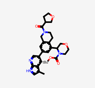 Cc1c[nH]c2ncc(-c3cc4c(c(C5COCCN5C(=O)OC(C)(C)C)c3)CCN(C(=O)C3CCOC3)C4)cc12